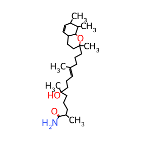 C/C(=C\CCC(C)(O)CCCC(C)C(N)=O)CCCC1(C)CCC2C=CC(C)C(C)C2O1